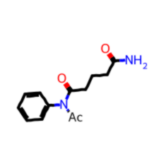 CC(=O)N(C(=O)CCCC(N)=O)c1ccccc1